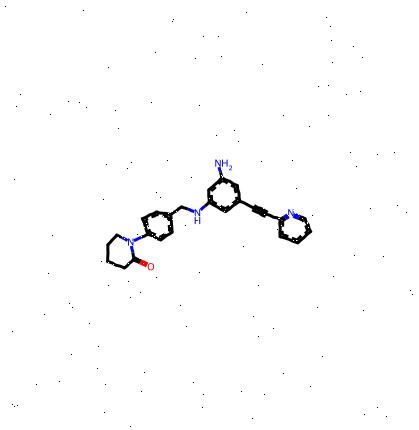 Nc1cc(C#Cc2ccccn2)cc(NCc2ccc(N3CCCCC3=O)cc2)c1